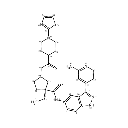 CS[C@@]1(C(=O)Nc2ccc3[nH]nc(-c4ccnc(C)c4)c3c2)CCN(CC(=S)C2CCN(c3nccs3)CC2)C1